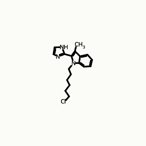 Cc1c(-c2ncc[nH]2)n(CCCCCCCl)c2ccccc12